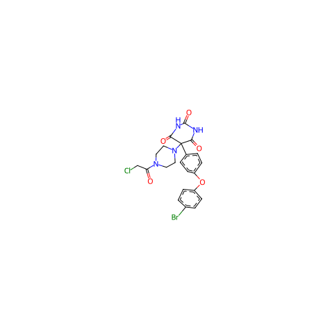 O=C1NC(=O)C(c2ccc(Oc3ccc(Br)cc3)cc2)(N2CCN(C(=O)CCl)CC2)C(=O)N1